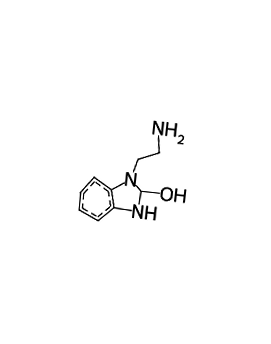 NCCN1c2ccccc2NC1O